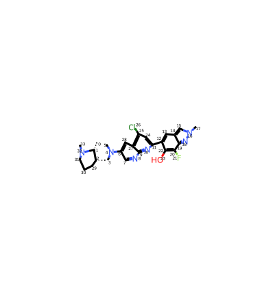 C[C@@H]1[C@H](CN(C)c2cnc3nc(-c4cc5cn(C)nc5c(F)c4O)cc(Cl)c3c2)CCCN1C